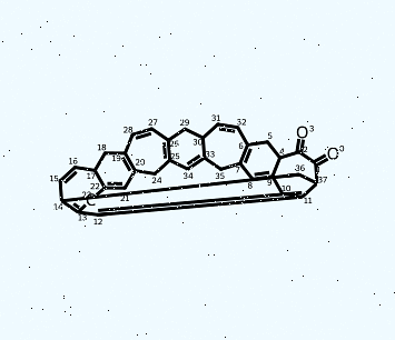 O=C1C(=O)C2CC3=C4C=C2CC2=CC5=C(C=CC6CC7=C(C=C6C5)CC5=C(C=C7)CC(C=C3)C(=C5)C4)CC12